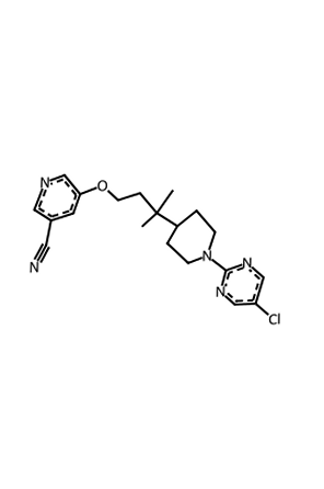 CC(C)(CCOc1cncc(C#N)c1)C1CCN(c2ncc(Cl)cn2)CC1